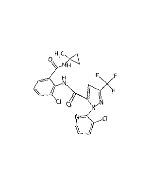 CC1(NC(=O)c2cccc(Cl)c2NC(=O)c2cc(C(F)(F)F)nn2-c2ncccc2Cl)CC1